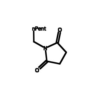 CCCCCCN1C(=O)CCC1=O